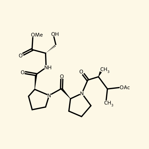 COC(=O)[C@H](CO)NC(=O)[C@@H]1CCCN1C(=O)[C@@H]1CCCN1C(=O)[C@@H](C)C(C)OC(C)=O